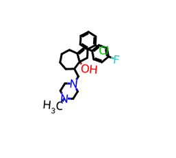 CN1CCN(CC2CCCCC(=Cc3ccc(F)cc3)C2(O)Cc2ccccc2Cl)CC1